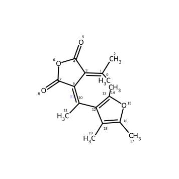 CC(C)=C1C(=O)OC(=O)/C1=C(\C)c1c(C)oc(C)c1C